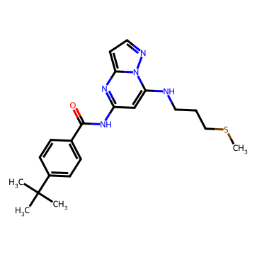 CSCCCNc1cc(NC(=O)c2ccc(C(C)(C)C)cc2)nc2ccnn12